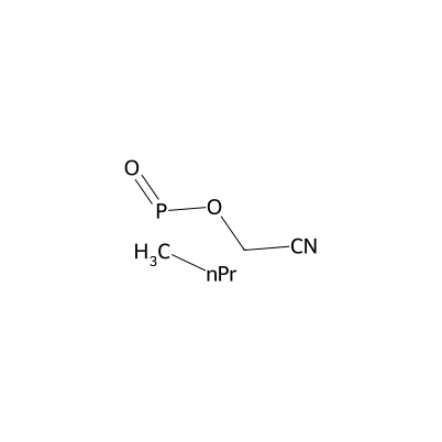 CCCC.N#CCOP=O